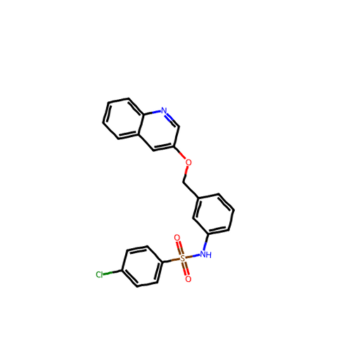 O=S(=O)(Nc1cccc(COc2cnc3ccccc3c2)c1)c1ccc(Cl)cc1